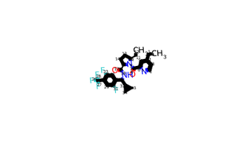 CCc1ccnc(C(=O)N2[C@H](CC)CC[C@@H]2C(=O)NC(c2cc(F)c(C(F)(F)F)cc2F)C2CC2)c1